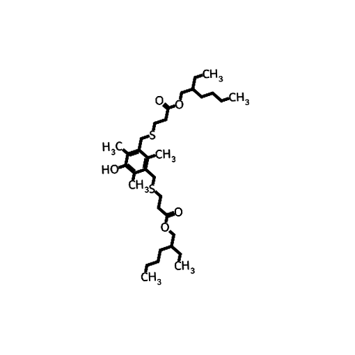 CCCCC(CC)COC(=O)CCSCc1c(C)c(O)c(C)c(CSCCC(=O)OCC(CC)CCCC)c1C